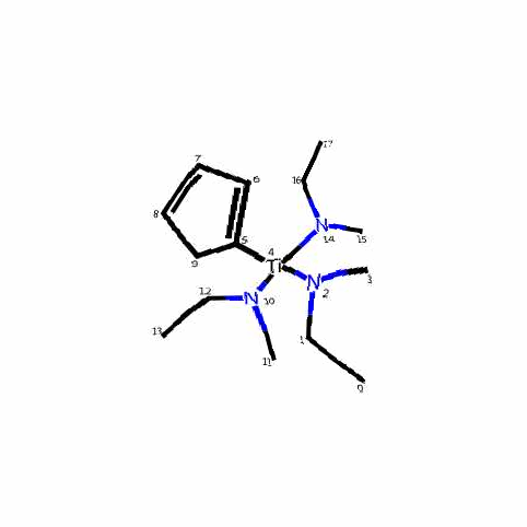 CC[N](C)[Ti]([C]1=CC=CC1)([N](C)CC)[N](C)CC